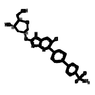 NS(=O)(=O)c1ccc(-c2ccc(-c3nc4nc(O[C@H]5CO[C@H](CO)[C@@H](O)C5)[nH]c4cc3Cl)cc2)cc1